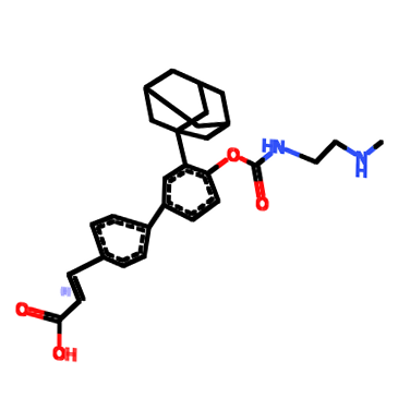 CNCCNC(=O)Oc1ccc(-c2ccc(/C=C/C(=O)O)cc2)cc1C12CC3CC(CC(C3)C1)C2